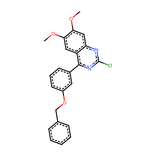 COc1cc2nc(Cl)nc(-c3cccc(OCc4ccccc4)c3)c2cc1OC